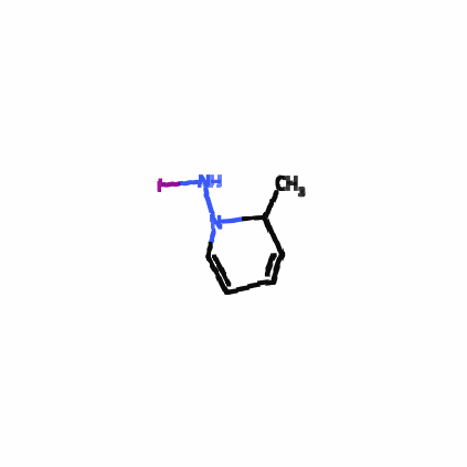 CC1C=CC=CN1NI